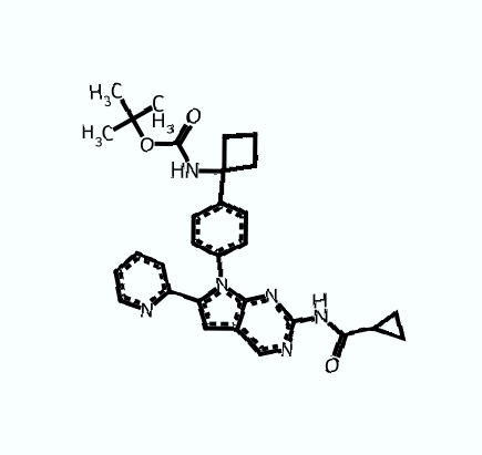 CC(C)(C)OC(=O)NC1(c2ccc(-n3c(-c4ccccn4)cc4cnc(NC(=O)C5CC5)nc43)cc2)CCC1